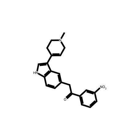 CN1CC=C(c2c[nH]c3ccc(CC(=O)c4cccc([N+](=O)[O-])c4)cc23)CC1